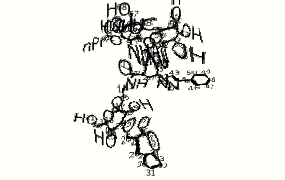 CCC[C@H](OC1C(NC(C)=O)[C@H](O[C@@H]2CC(C(=O)NCCO[C@H]3OC(CO)[C@@H](O)C(OCc4cc5ccccc5oc4=O)C3O)CC(n3cc(-c4ccccc4)nn3)C2O[C@@H]2OC(C)[C@@H](O)C(O)C2O)OC(CO)[C@@H]1O)C(=O)O